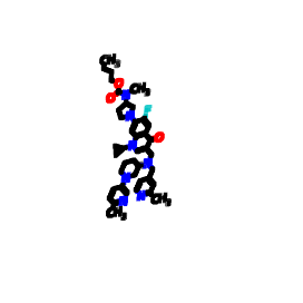 CCCCOC(=O)N(C)C1CCN(c2cc3c(cc2F)c(=O)c(CN(Cc2ccnc(C)c2)[C@H]2CCCN(c4ccc(C)nc4)C2)cn3C2CC2)C1